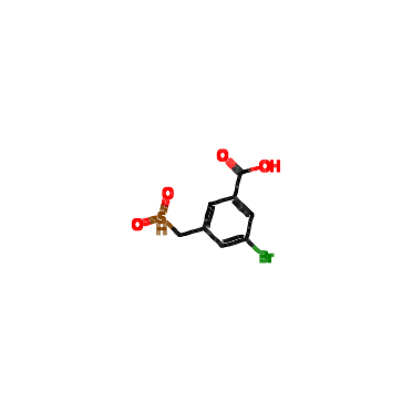 O=C(O)c1cc(Br)cc(C[SH](=O)=O)c1